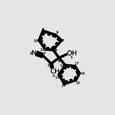 C=C(C#N)C(O)(c1ccccc1)c1ccccc1